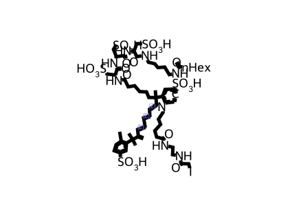 C=C(/C=C/C=C/C=C1\N(CCCCCC(=O)NCCNC(=O)CI)c2ccc(S(=O)(=O)O)cc2C1(C)CCCCCC(=O)NC(CS(=O)(=O)O)C(=O)NC(CS(=O)(=O)O)C(=O)NC(CS(=O)(=O)O)C(=O)NCCCCCNC(=O)CCCCCC)C(C)(C)c1cc(S(=O)(=O)O)ccc1C